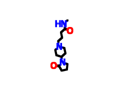 CNC(=O)CCCN1CCC(N2CCCC2=O)CC1